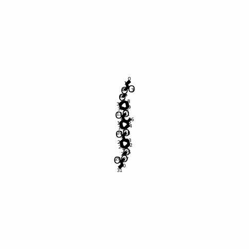 C=CC(=O)OCOc1ccc(OC(=O)c2ccc(OC(=O)c3ccc(OCOC(=O)C=C)cc3)cc2C)cc1